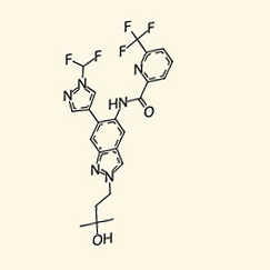 CC(C)(O)CCn1cc2cc(NC(=O)c3cccc(C(F)(F)F)n3)c(-c3cnn(C(F)F)c3)cc2n1